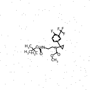 COC(=O)N(CCNC(=O)OC(C)(C)C)C1(c2ccc(F)c(C(F)(F)F)c2)CC1